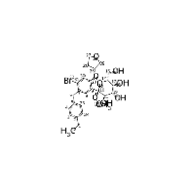 CCc1ccc(Cc2cc([C@]3(OC)O[C@H](CO)[C@@H](O)[C@H](O)[C@H]3O)c(OC3CCOC3)cc2Br)cc1